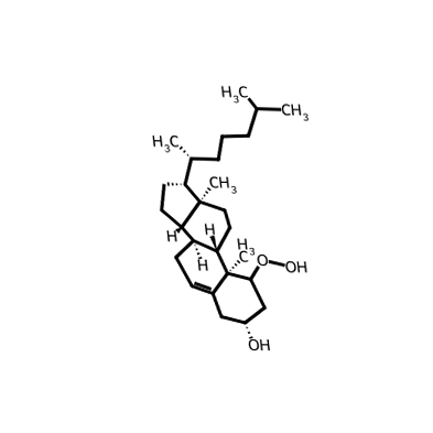 CC(C)CCC[C@@H](C)[C@H]1CC[C@H]2[C@@H]3CC=C4C[C@@H](O)CC(OO)[C@]4(C)[C@H]3CC[C@]12C